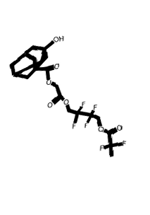 CC(F)(F)C(=O)OCC(F)(F)C(F)(F)COC(=O)COC(=O)C12CC3CC(CC(O)(C3)C1)C2